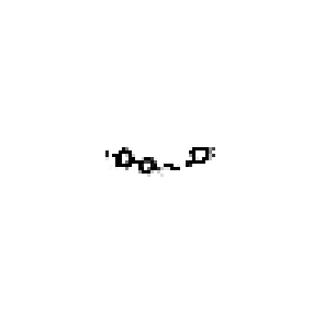 Fc1ccc(C2CCC(OCCOCC3CCC4OC4C3)CC2)cc1F